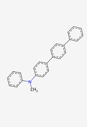 CN(c1ccccc1)c1ccc(-c2ccc(-c3ccccc3)cc2)cc1